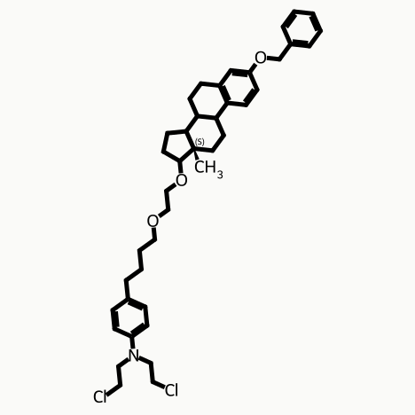 C[C@]12CCC3c4ccc(OCc5ccccc5)cc4CCC3C1CCC2OCCOCCCCc1ccc(N(CCCl)CCCl)cc1